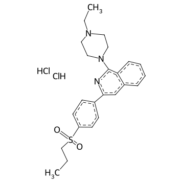 CCCS(=O)(=O)c1ccc(-c2cc3ccccc3c(N3CCN(CC)CC3)n2)cc1.Cl.Cl